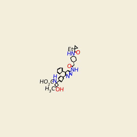 CCC1(C(=O)N[C@H]2CC[C@H](CC(=O)Nc3cc(-c4ccccc4)c(-c4ccc([C@]5(NC(=O)O)C[C@](C)(O)C5)cc4)nn3)CC2)CC1